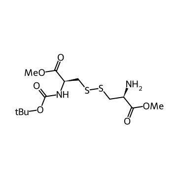 COC(=O)[C@H](N)CSSC[C@@H](NC(=O)OC(C)(C)C)C(=O)OC